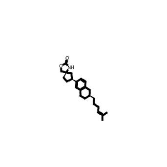 CC(C)=CCCC[C@H]1CCc2cc([C@H]3CC[C@]4(COC(=O)N4)C3)ccc2C1